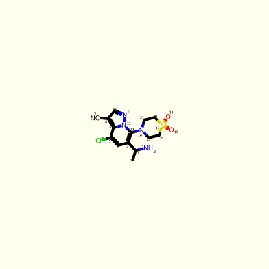 CC(N)c1cc(Cl)c2c(C#N)cnn2c1N1CCS(=O)(=O)CC1